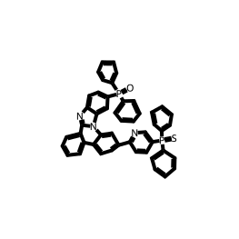 O=P(c1ccccc1)(c1ccccc1)c1ccc2nc3c4ccccc4c4ccc(-c5ccc(P(=S)(c6ccccc6)c6ccccc6)cn5)cc4n3c2c1